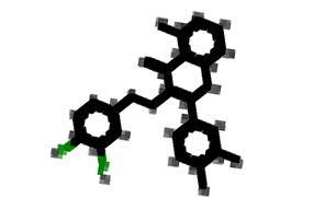 C=C1C(CCc2ccc(F)c(F)c2)=C(c2ccc(C)c(C)c2)Cc2cccc(C)c21